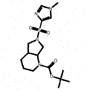 Cn1cnc(S(=O)(=O)N2CC3CCCN(C(=O)OC(C)(C)C)C3C2)c1